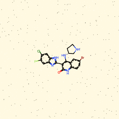 O=c1[nH]c2ccc(Br)cc2c(N[C@@H]2CCNC2)c1-c1nc2cc(F)c(Cl)cc2[nH]1